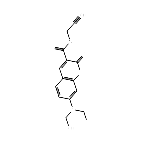 C#CCNC(=O)c1cc2ccc(N(CC)CC)cc2oc1=O